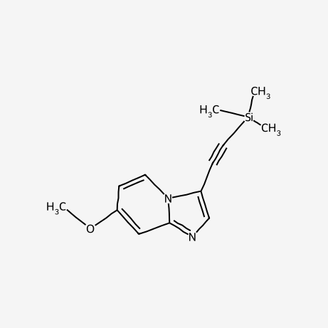 COc1ccn2c(C#C[Si](C)(C)C)cnc2c1